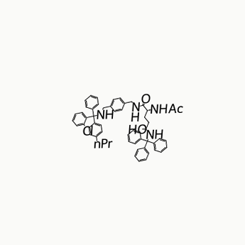 CCCc1ccc(C(NCc2ccc(CNC(=O)[C@H](CCC(O)NC(c3ccccc3)(c3ccccc3)c3ccccc3)NC(C)=O)cc2)(c2ccccc2)c2ccccc2Cl)cc1